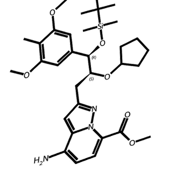 COC(=O)c1ccc(N)c2cc(C[C@H](OC3CCCC3)[C@H](O[Si](C)(C)C(C)(C)C)c3cc(OC)c(C)c(OC)c3)nn12